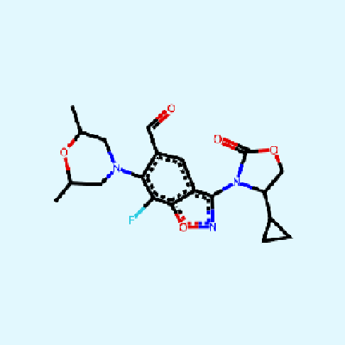 CC1CN(c2c(C=O)cc3c(N4C(=O)OCC4C4CC4)noc3c2F)CC(C)O1